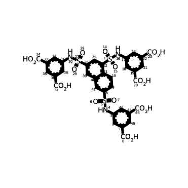 O=C(O)c1cc(NS(=O)(=O)c2ccc3c(S(=O)(=O)Nc4cc(C(=O)O)cc(C(=O)O)c4)cc(S(=O)(=O)Nc4cc(C(=O)O)cc(C(=O)O)c4)cc3c2)cc(C(=O)O)c1